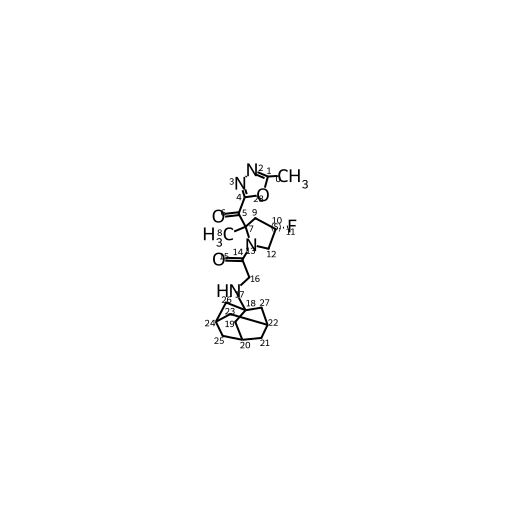 Cc1nnc(C(=O)C2(C)C[C@H](F)CN2C(=O)CNC23CC4CC(CC(C4)C2)C3)o1